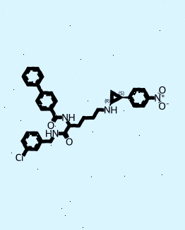 O=C(NC(CCCCN[C@@H]1C[C@H]1c1ccc([N+](=O)[O-])cc1)C(=O)NCc1cccc(Cl)c1)c1ccc(-c2ccccc2)cc1